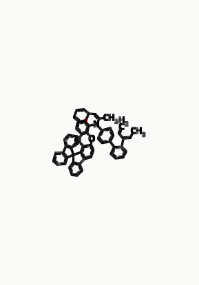 C=C/C(=C\C)c1ccccc1-c1ccc(N(/C(C)=C\C2C=CC=CC2)c2cccc3c2Oc2ccc4c(c2O3)C2(c3ccccc3-c3ccccc32)c2ccccc2-4)cc1